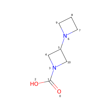 O=C(O)N1CC(N2CCC2)C1